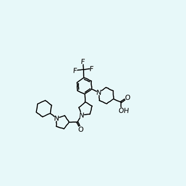 O=C(O)C1CCN(c2cc(C(F)(F)F)ccc2C2CCN(C(=O)C3CCN(C4CCCCC4)C3)C2)CC1